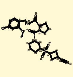 COc1cc(Cl)ccc1CNC(=O)[C@H]1CCCN1C(=O)[C@H]1CCCN(S(=O)(=O)N2CC(C#N)C2)C1